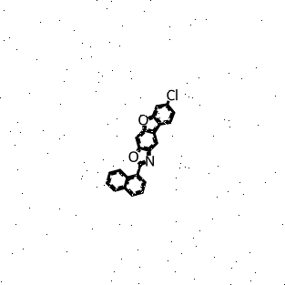 Clc1ccc2c(c1)oc1cc3oc(-c4cccc5ccccc45)nc3cc12